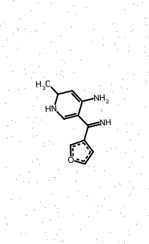 CC1C=C(N)C(C(=N)c2ccoc2)=CN1